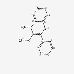 O=c1c(CCl)c(-c2ccccc2)sc2ccccc12